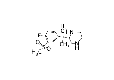 CC(C)(c1ccc(F)c(S(C)(=O)=O)c1)C1CNCCN1